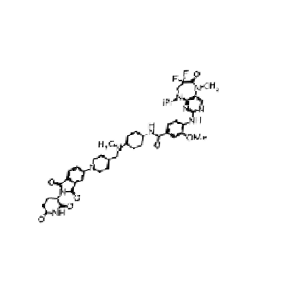 COc1cc(C(=O)N[C@H]2CC[C@H](N(C)CC3CCN(c4ccc5c(c4)C(=O)N(C4CCC(=O)NC4=O)C5=O)CC3)CC2)ccc1Nc1ncc2c(n1)N(C(C)C)CC(F)(F)C(=O)N2C